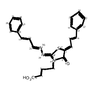 O=C(O)CCCN1C(=O)C(=CC=Cc2ccccc2)SC1=NN=CC=Cc1ccccc1